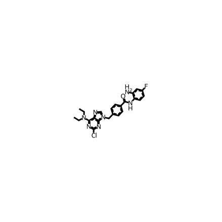 CCN(CC)c1nc(Cl)nc2c1ncn2Cc1ccc(C(=O)Nc2ccc(F)cc2N)cc1